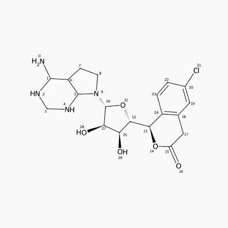 NC1NCNC2C1CCN2[C@@H]1O[C@H]([C@@H]2OC(=O)Cc3cc(Cl)ccc32)[C@@H](O)[C@H]1O